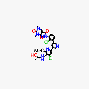 COc1nc(-c2cncc(-c3cccc(NC(=O)c4cn(C)c(=O)n(C)c4=O)c3Cl)c2)cc(Cl)c1CNC[C@H](C)O